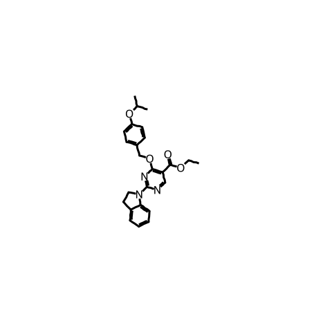 CCOC(=O)c1cnc(N2CCc3ccccc32)nc1OCc1ccc(OC(C)C)cc1